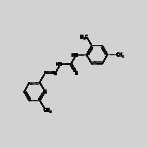 Cc1ccc(NC(=S)NN=Cc2cccc(C)n2)c(C)c1